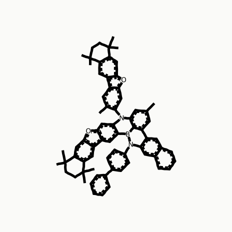 Cc1cc2c3c(c1)N(c1cc4oc5cc6c(cc5c4cc1C)C(C)(C)CCC6(C)C)c1cc4oc5cc6c(cc5c4cc1B3N(c1ccc(-c3ccccc3)cc1)c1cc3ccccc3cc1-2)C(C)(C)CCC6(C)C